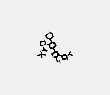 CC(C)n1cc(-c2cc(-c3ccc(C4CCOCC4)c([C@@H]4CCCN4C(=O)OC(C)(C)C)c3)cnc2N)cn1